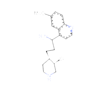 CC[C@H]1CNCC[C@H]1CCC(N)c1ccnc2ccc(OC)cc12